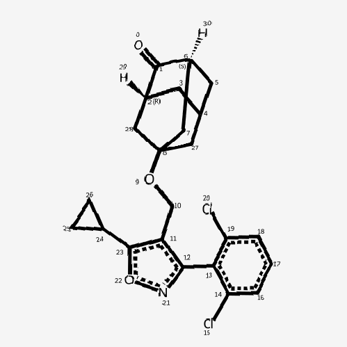 O=C1[C@@H]2CC3C[C@H]1CC(OCc1c(-c4c(Cl)cccc4Cl)noc1C1CC1)(C3)C2